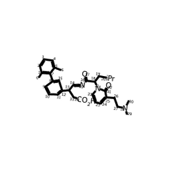 Cc1cccc(C)c1-c1cccc(C(/C=N/C(=O)C(CC(C)C)n2cccc(CCN(C)C)c2=O)CC(=O)O)c1